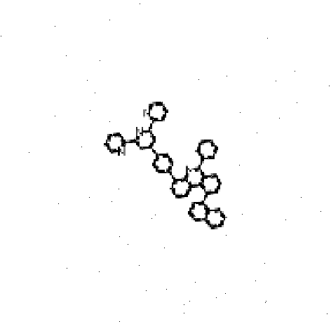 c1ccc(-c2nc3c(-c4ccc(-c5cc(-c6ccccn6)nc(-c6ccccn6)c5)cc4)cccc3c3c(-c4cccc5ccccc45)cccc23)cc1